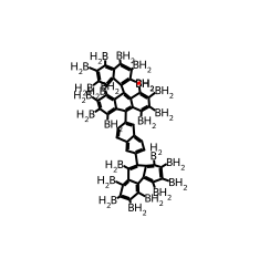 Bc1c(B)c(B)c2c(-c3c4c(B)c(B)c(B)c(B)c4c(-c4ccc5cc(-c6c(B)c7c(B)c(B)c(B)c(B)c7c7c(B)c(B)c(B)c(B)c67)ccc5c4)c4c(B)c(B)c(B)c(B)c34)c(B)c(B)c(B)c2c1B